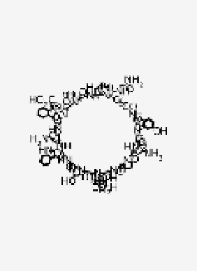 CCCC[C@H]1C(=O)N(C)[C@@H](CCCC)C(=O)N[C@@H](CC(C)C)C(=O)N[C@H](C(=O)NCC(N)=O)CSCC(=O)N[C@@H](Cc2ccc(O)cc2)C(=O)N(C)[C@@H](C)C(=O)N[C@@H](CC(N)=O)C(=O)N2CCC[C@H]2C(=O)N[C@@H](Cc2cnc[nH]2)C(=O)N[C@@H](CCC(=O)O)C(=O)N2C[C@H](O)C[C@H]2C(=O)N[C@@H](Cc2c[nH]c3ccccc23)C(=O)N[C@@H](CCN)C(=O)N[C@@H](Cc2cn(CC(=O)O)c3ccccc23)C(=O)N1C